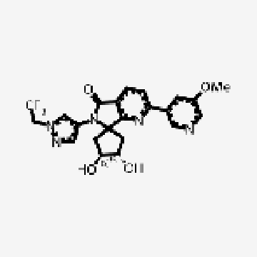 COc1cncc(-c2ccc3c(n2)C2(C[C@H](O)[C@@H](O)C2)N(c2cnn(CC(F)(F)F)c2)C3=O)c1